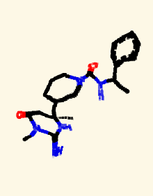 CC(NC(=O)N1CCCC([C@]2(C)CC(=O)N(C)C(=N)N2)C1)c1ccccc1